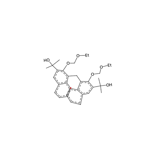 CCOCOc1c(C(C)(C)O)cc2ccccc2c1Cc1c(OCOCC)c(C(C)(C)O)cc2ccccc12